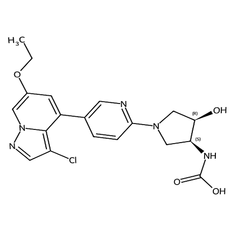 CCOc1cc(-c2ccc(N3C[C@@H](O)[C@@H](NC(=O)O)C3)nc2)c2c(Cl)cnn2c1